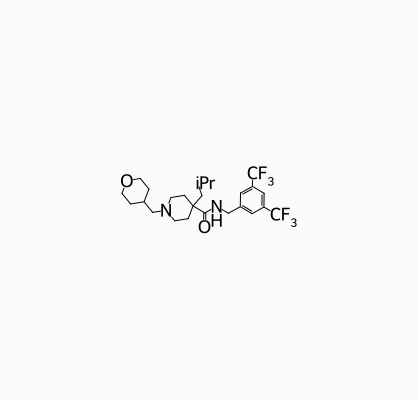 CC(C)CC1(C(=O)NCc2cc(C(F)(F)F)cc(C(F)(F)F)c2)CCN(CC2CCOCC2)CC1